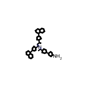 C=C(/C=C(\N=C(/C)c1ccc(-c2ccc(N)cc2)cc1)c1ccc(-c2cccc3ccccc23)cc1)c1ccc(-c2cccc3ccccc23)cc1